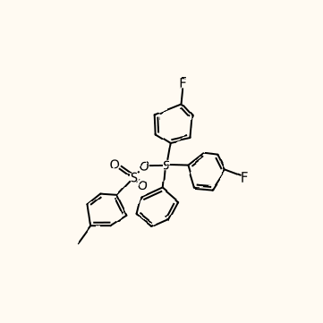 Cc1ccc(S(=O)(=O)OS(c2ccccc2)(c2ccc(F)cc2)c2ccc(F)cc2)cc1